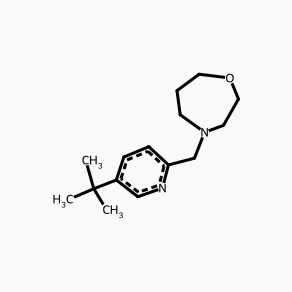 CC(C)(C)c1ccc(CN2CCCOCC2)nc1